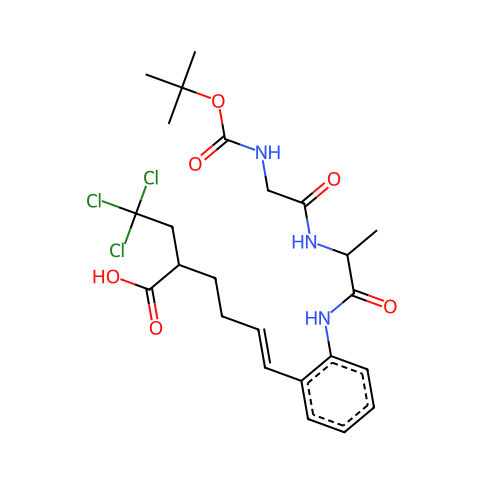 CC(NC(=O)CNC(=O)OC(C)(C)C)C(=O)Nc1ccccc1/C=C/CCC(CC(Cl)(Cl)Cl)C(=O)O